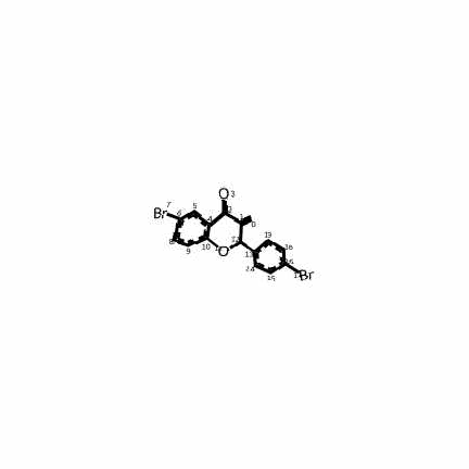 C=C1C(=O)c2cc(Br)ccc2OC1c1ccc(Br)cc1